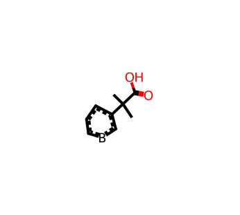 CC(C)(C(=O)O)c1cbccc1